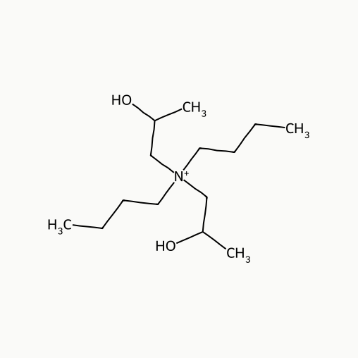 CCCC[N+](CCCC)(CC(C)O)CC(C)O